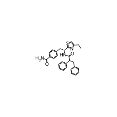 CCc1csc(C(Cc2ccc(C(N)=O)cc2)NC(=O)C(Cc2ccccc2)c2ccccc2)n1